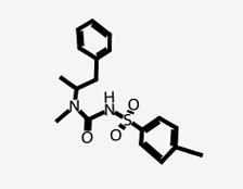 Cc1ccc(S(=O)(=O)NC(=O)N(C)C(C)Cc2ccccc2)cc1